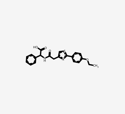 CCOc1ccc(-c2nc(CC(=O)NC(C(=O)O)c3ccccc3)cs2)cc1